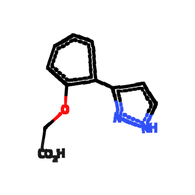 O=C(O)COc1ccccc1-c1cc[nH]n1